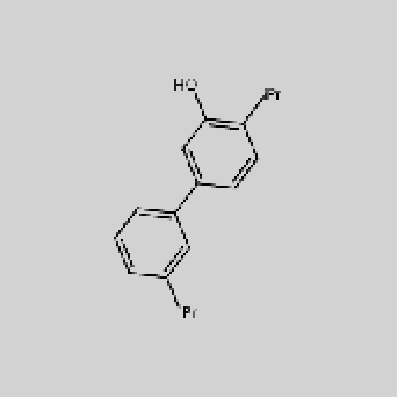 CC(C)c1cccc(-c2ccc(C(C)C)c(O)c2)c1